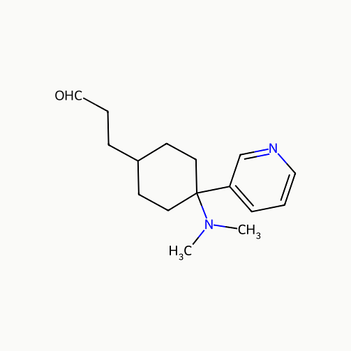 CN(C)C1(c2cccnc2)CCC(CCC=O)CC1